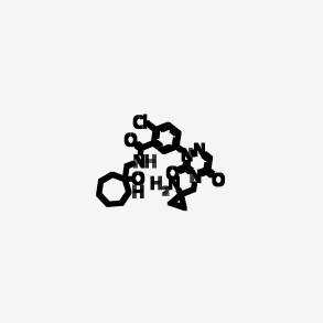 NC1(Cn2c(=O)cnn(-c3ccc(Cl)c(C(=O)NCC4(O)CCCCCC4)c3)c2=O)CC1